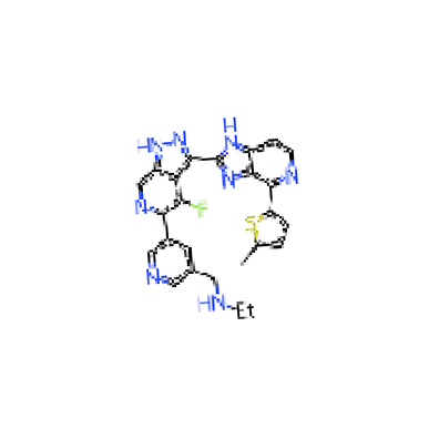 CCNCc1cncc(-c2ncc3[nH]nc(-c4nc5c(-c6ccc(C)s6)nccc5[nH]4)c3c2F)c1